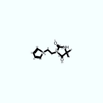 CC1(C)NC(=O)N(CCn2cccc2)C1=O